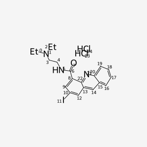 CCN(CC)CCNC(=O)c1cc(I)cc2cc3ccccc3nc12.Cl.Cl